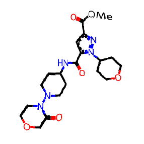 COC(=O)c1cc(C(=O)NC2CCN(N3CCOCC3=O)CC2)n(C2CCOCC2)n1